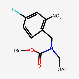 CC(=O)OCN(Cc1ccc(F)cc1[N+](=O)[O-])C(=O)OC(C)(C)C